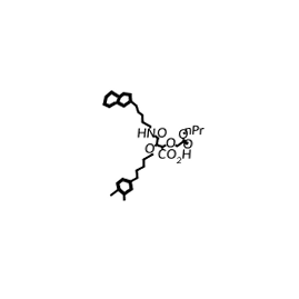 CCCOC(=O)COC(C(=O)O)C(OCCCCCc1ccc(C)c(C)c1)C(=O)NCCCCCc1ccc2ccccc2c1